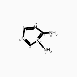 NC1=S(N)C=NC=N1